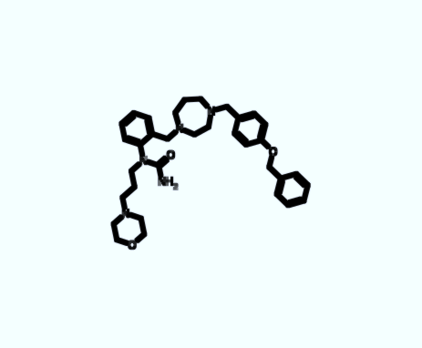 NC(=O)N(CCCN1CCOCC1)c1ccccc1CN1CCCN(Cc2ccc(OCc3ccccc3)cc2)CC1